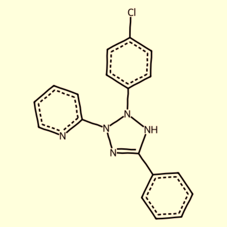 Clc1ccc(N2NC(c3ccccc3)=NN2c2ccccn2)cc1